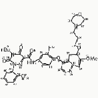 CCCCn1c(=O)c(C(=O)Nc2ccc(Oc3ccnc4cc(OC)c(OCCCN5CCOCC5)cc34)c(F)c2)nn(-c2ccccc2C(F)(F)F)c1=O